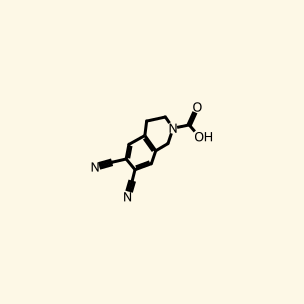 N#Cc1cc2c(cc1C#N)CN(C(=O)O)CC2